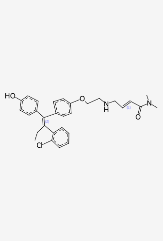 CC/C(=C(\c1ccc(O)cc1)c1ccc(OCCNC/C=C/C(=O)N(C)C)cc1)c1ccccc1Cl